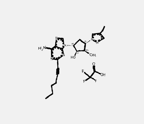 CCCCC#Cc1nc(N)c2ncn([C@@H]3C[C@H](n4cc(C)cn4)[C@@H](O)[C@H]3O)c2n1.O=C(O)C(F)(F)F